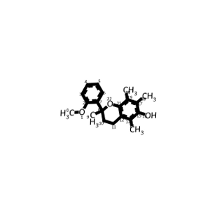 COc1[c]cccc1C1(C)CCc2c(C)c(O)c(C)c(C)c2O1